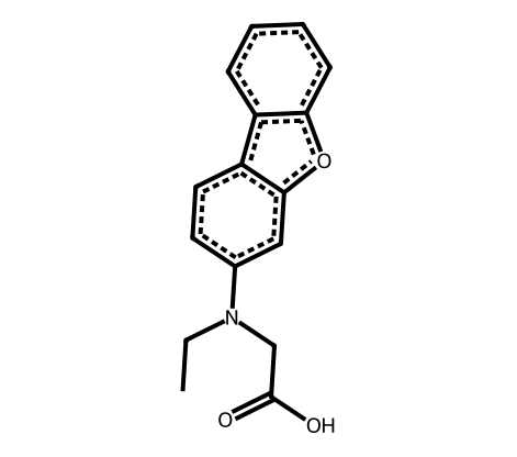 CCN(CC(=O)O)c1ccc2c(c1)oc1ccccc12